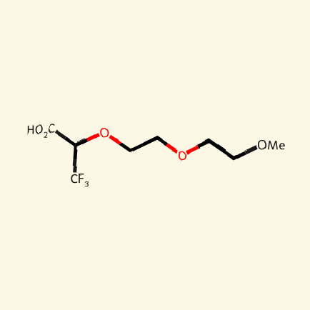 COCCOCCOC(C(=O)O)C(F)(F)F